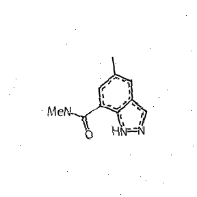 CNC(=O)c1cc(C)cc2cn[nH]c12